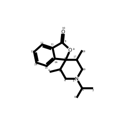 CC(C)N1CC(C)C2(OC(=O)c3ccccc32)C(C)C1